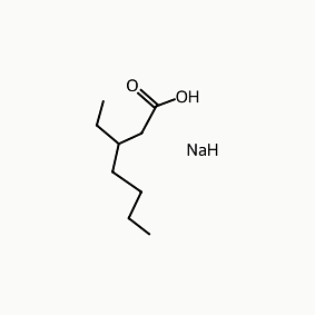 CCCCC(CC)CC(=O)O.[NaH]